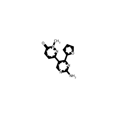 Cn1nc(-c2cnc(N)nc2-c2ccco2)ccc1=O